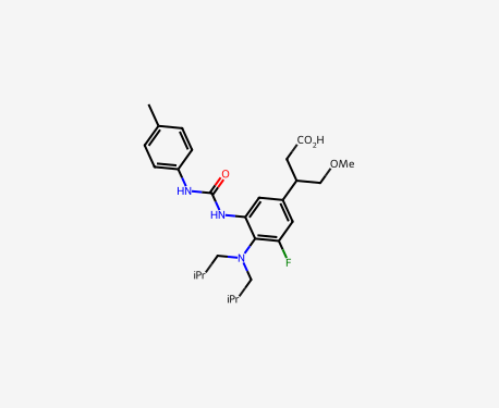 COCC(CC(=O)O)c1cc(F)c(N(CC(C)C)CC(C)C)c(NC(=O)Nc2ccc(C)cc2)c1